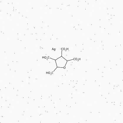 O=C(O)C1OC(C(=O)O)C(C(=O)O)C1C(=O)O.[Ag]